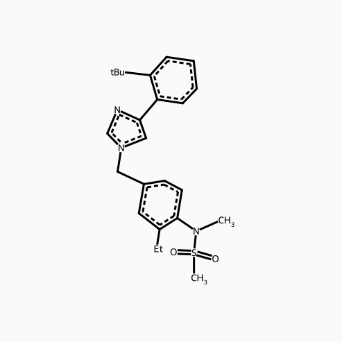 CCc1cc(Cn2cnc(-c3ccccc3C(C)(C)C)c2)ccc1N(C)S(C)(=O)=O